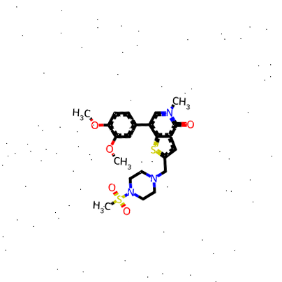 COc1ccc(-c2cn(C)c(=O)c3cc(CN4CCN(S(C)(=O)=O)CC4)sc23)cc1OC